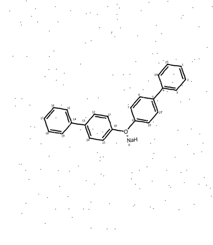 [NaH].c1ccc(-c2ccc(Oc3ccc(-c4ccccc4)cc3)cc2)cc1